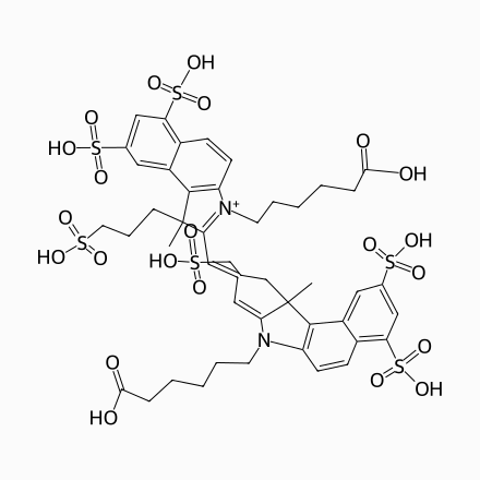 CC1(CCCS(=O)(=O)O)C(/C=C/C=C2/N(CCCCCC(=O)O)c3ccc4c(S(=O)(=O)O)cc(S(=O)(=O)O)cc4c3C2(C)CCCS(=O)(=O)O)=[N+](CCCCCC(=O)O)c2ccc3c(S(=O)(=O)O)cc(S(=O)(=O)O)cc3c21